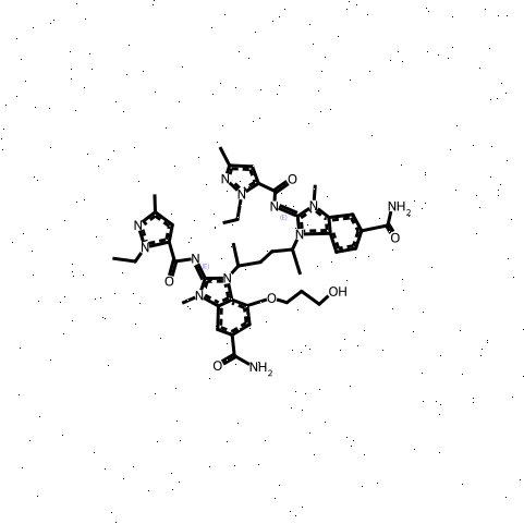 CCn1nc(C)cc1C(=O)/N=c1\n(C)c2cc(C(N)=O)ccc2n1C(C)CCC(C)n1/c(=N/C(=O)c2cc(C)nn2CC)n(C)c2cc(C(N)=O)cc(OCCCO)c21